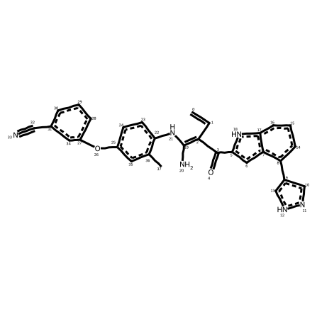 C=C/C(C(=O)c1cc2c(-c3cn[nH]c3)cccc2[nH]1)=C(/N)Nc1ccc(Oc2cccc(C#N)c2)cc1C